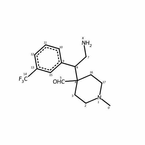 CN1CCC(C=O)(C(CN)c2cccc(C(F)(F)F)c2)CC1